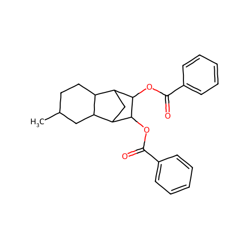 CC1CCC2C(C1)C1CC2C(OC(=O)c2ccccc2)C1OC(=O)c1ccccc1